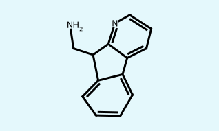 NCC1c2ccccc2-c2cccnc21